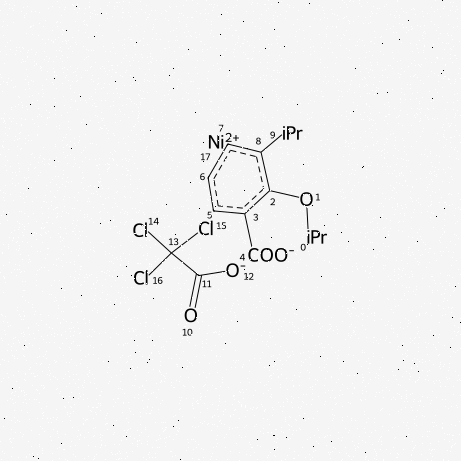 CC(C)Oc1c(C(=O)[O-])cccc1C(C)C.O=C([O-])C(Cl)(Cl)Cl.[Ni+2]